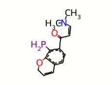 CN(C)/C=C\C(=O)c1ccc2c(c1P)OCC=C2